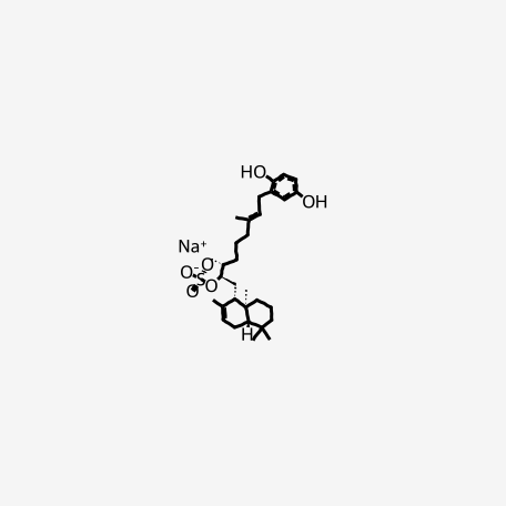 CC1=CC[C@H]2C(C)(C)CCC[C@]2(C)[C@H]1C[C@@H](OS(=O)(=O)[O-])[C@H](C)CCC/C(C)=C/Cc1cc(O)ccc1O.[Na+]